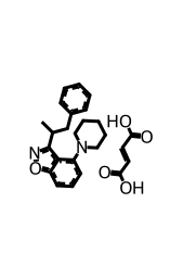 CC(Cc1ccccc1)c1noc2cccc(N3CCCCC3)c12.O=C(O)C=CC(=O)O